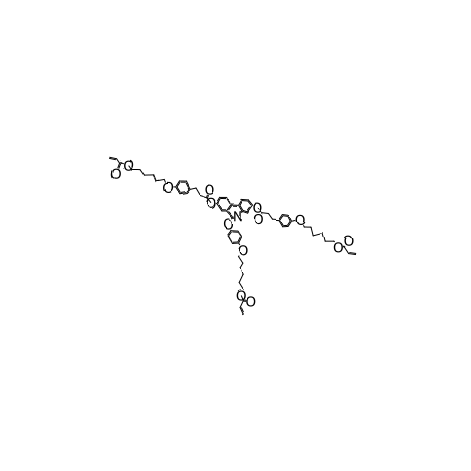 C=CC(=O)OCCCCCCOc1ccc(CCC(=O)Oc2ccc3c(c2)nc(Oc2ccc(OCCCCCCOC(=O)C=C)cc2)c2cc(OC(=O)CCc4ccc(OCCCCCCOC(=O)C=C)cc4)ccc23)cc1